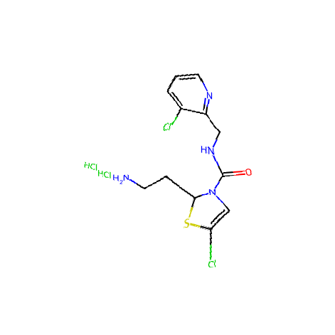 Cl.Cl.NCCC1SC(Cl)=CN1C(=O)NCc1ncccc1Cl